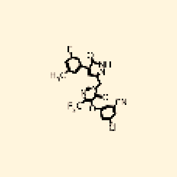 CC1=CC(F)CC(c2cc(Cn3cnc(C(F)(F)F)c(Oc4cc(Cl)cc(C#N)c4)c3=O)n[nH]c2=O)=C1